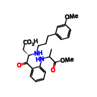 COC(=O)C(C)Nc1ccccc1C(=O)[C@H](CC(=O)O)NCCCc1cccc(OC)c1